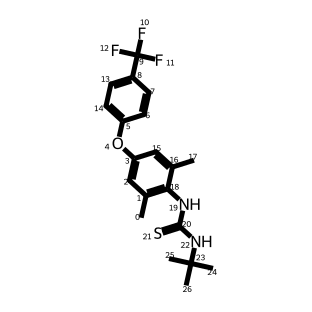 Cc1cc(Oc2ccc(C(F)(F)F)cc2)cc(C)c1NC(=S)NC(C)(C)C